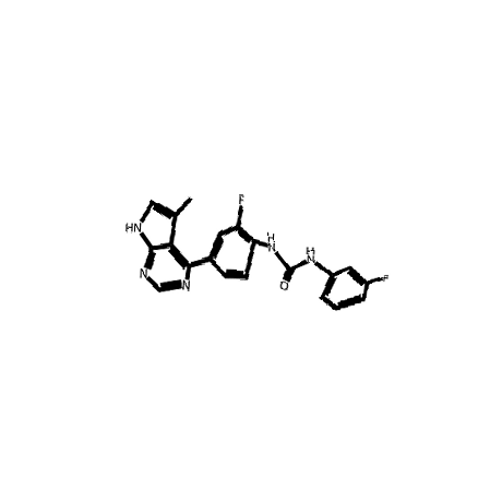 Cc1c[nH]c2ncnc(-c3ccc(NC(=O)Nc4cccc(F)c4)c(F)c3)c12